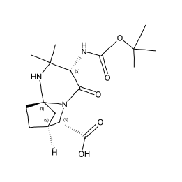 CC(C)(C)OC(=O)N[C@@H]1C(=O)N2[C@H](C(=O)O)[C@H]3CC[C@@]2(C3)NC1(C)C